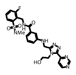 CNS(=O)(=O)c1cccc(F)c1CNC(=O)c1cccc(NCc2nnc(-c3ccncn3)n2CCO)c1